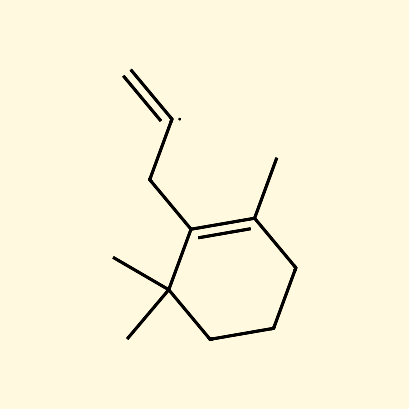 C=[C]CC1=C(C)CCCC1(C)C